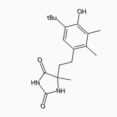 Cc1c(CCC2(C)NC(=O)NC2=O)cc(C(C)(C)C)c(O)c1C